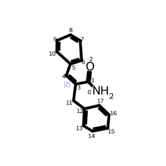 NC(=O)/C(=C\c1ccccc1)Cc1ccccc1